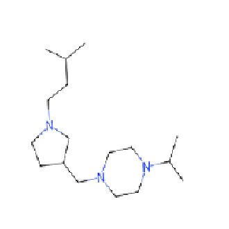 CC(C)CCN1CCC(CN2CCN(C(C)C)CC2)C1